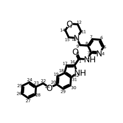 O=C(Nc1ncccc1CN1CCOCC1)c1cc2cc(OCc3ccccc3)ccc2[nH]1